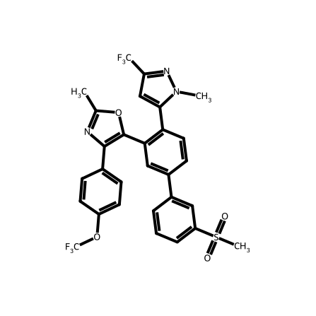 Cc1nc(-c2ccc(OC(F)(F)F)cc2)c(-c2cc(-c3cccc(S(C)(=O)=O)c3)ccc2-c2cc(C(F)(F)F)nn2C)o1